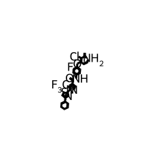 C=C(N)/C(Cl)=C(\C=C/C)Oc1ccc(NC(=O)c2cnn(-c3nc(C4=CCCC=C4)cs3)c2C(F)(F)F)cc1F